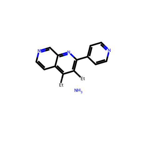 CCc1c(-c2ccncc2)nc2cnccc2c1CC.N